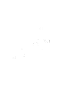 O=c1[nH]c(=O)n([C@H]2C[C@@H](CO)[C@H](O)C2)cc1Br